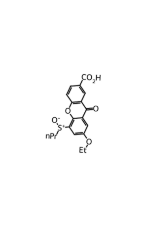 CCC[S+]([O-])c1cc(OCC)cc2c(=O)c3cc(C(=O)O)ccc3oc12